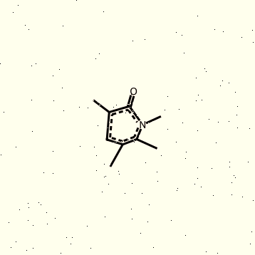 Cc1cc(C)c(=O)n(C)c1C